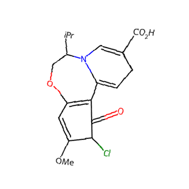 COC1=CC2=C(C(=O)C1Cl)C1=CCC(C(=O)O)=CN1C(C(C)C)CO2